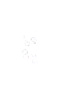 Cn1nc(C(F)(F)C(F)(F)F)c(C(F)(F)F)c1-n1cc(-c2ccc(Cl)c(C(=O)NC3(C=N)CC3)c2)cn1